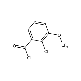 O=C(Cl)c1cccc(OC(F)(F)F)c1Cl